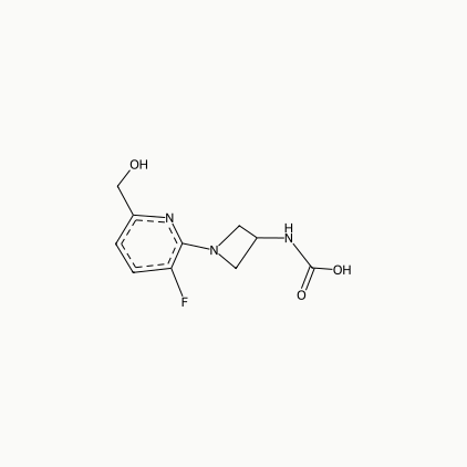 O=C(O)NC1CN(c2nc(CO)ccc2F)C1